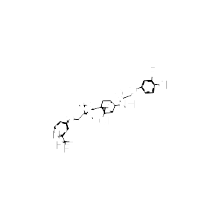 O=C(COc1ccc(Cl)c(F)c1)NC12CCC(c3nc(COc4ccnc(C(F)(F)F)c4)no3)(CC1)C(O)C2